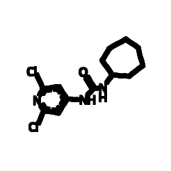 O=C(Nc1cc(Cl)nc(Cl)c1)NC1CCCCCC1